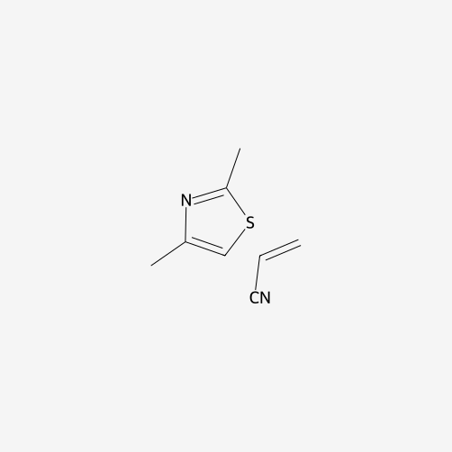 C=CC#N.Cc1csc(C)n1